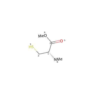 CN[C@H](CS)C(=O)OC